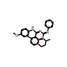 COc1ccc(N/C(=N/C(=N\c2ccccc2)N2CCCCC2C)c2c(C)cccc2C)cc1